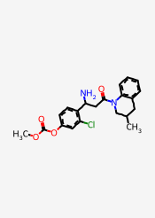 COC(=O)Oc1ccc(C(N)CC(=O)N2CC(C)Cc3ccccc32)c(Cl)c1